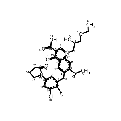 CCOC[C@H](O)Cn1cc(C(=O)O)c(=O)c2cc(Cc3cc(N4CCCC4=O)cc(Cl)c3F)c(OC)cc21